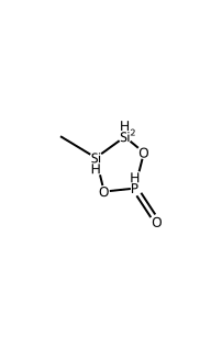 C[SiH]1O[PH](=O)O[SiH2]1